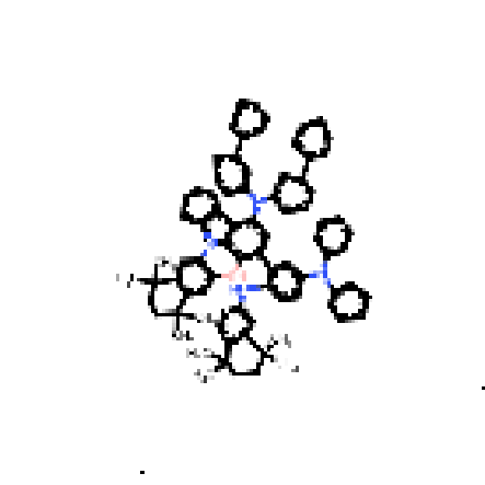 CC1(C)CCC(C)(C)c2cc(Nc3ccc(N(c4ccccc4)c4ccccc4)cc3-c3cc(N(c4cccc(-c5ccccc5)c4)c4cccc(-c5ccccc5)c4)c4c5ccccc5n5c4c3Bc3cc4c(cc3-5)C(C)(C)CCC4(C)C)ccc21